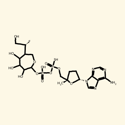 C[C@@]1(COP(=O)(S)OP(=O)(O)OC2OCC([C@@H](F)CO)C(O)C(O)C2O)CC[C@H](n2cnc3c(N)ncnc32)O1